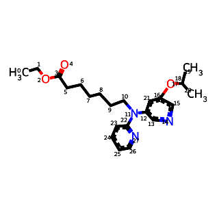 CCOC(=O)CCCCCCN(c1cncc(OC(C)C)c1)c1ccccn1